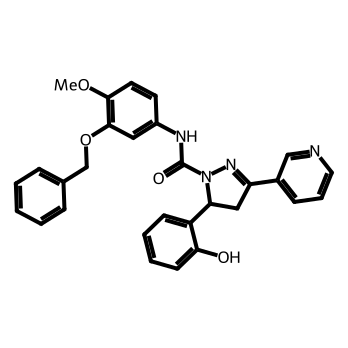 COc1ccc(NC(=O)N2N=C(c3cccnc3)CC2c2ccccc2O)cc1OCc1ccccc1